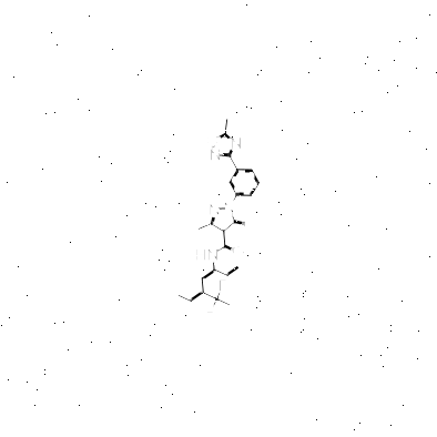 C=C/C(=C\C(=C/C)C(C)(F)F)NC(=O)C1C(=O)N(c2cccc(-c3noc(C)n3)c2)N=C1C